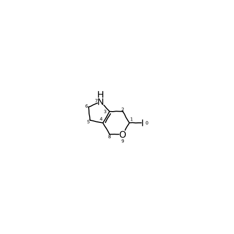 IC1CC2=C(CCN2)CO1